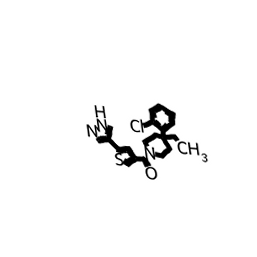 CCC1(c2ccccc2Cl)CCN(C(=O)c2csc(-c3cn[nH]c3)c2)CC1